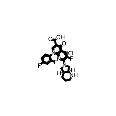 Cl.O=C(O)c1cn(-c2ccc(F)cc2F)c2nc(N3C[C@@H]4CCCN[C@@H]4C3)c(F)cc2c1=O